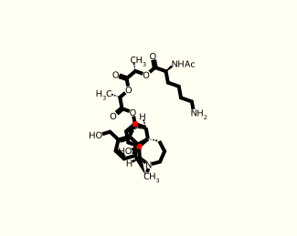 CC(=O)N[C@@H](CCCCN)C(=O)O[C@@H](C)C(=O)O[C@@H](C)C(=O)OC1=CC[C@@]2(O)[C@H]3Cc4ccc(CO)c5c4[C@@]2(CCCN3C)[C@H]1O5